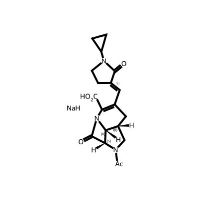 CC(=O)N1C[C@H]2CC(/C=C3\CCN(C4CC4)C3=O)=C(C(=O)O)N3C(=O)[C@@H]1[C@@H]23.[NaH]